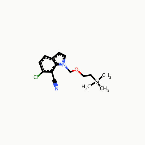 C[Si](C)(C)CCOCn1ccc2ccc(Cl)c(C#N)c21